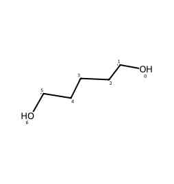 O[CH]CCC[CH]O